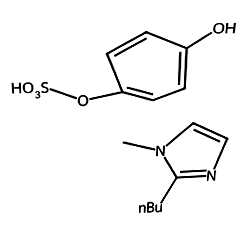 CCCCc1nccn1C.O=S(=O)(O)Oc1ccc(O)cc1